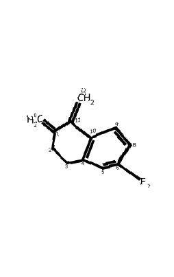 C=C1CCc2cc(F)ccc2C1=C